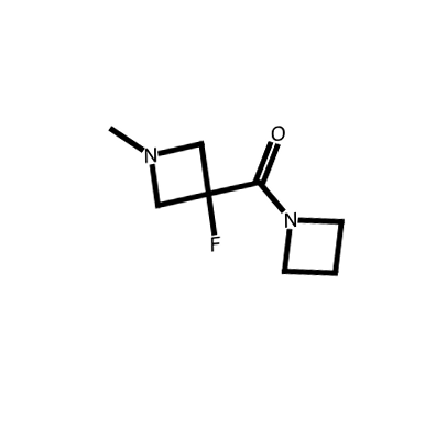 CN1CC(F)(C(=O)N2CCC2)C1